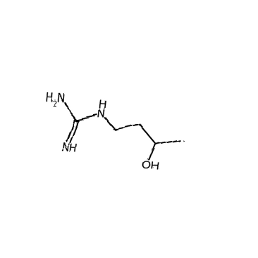 [CH2]C(O)CCNC(=N)N